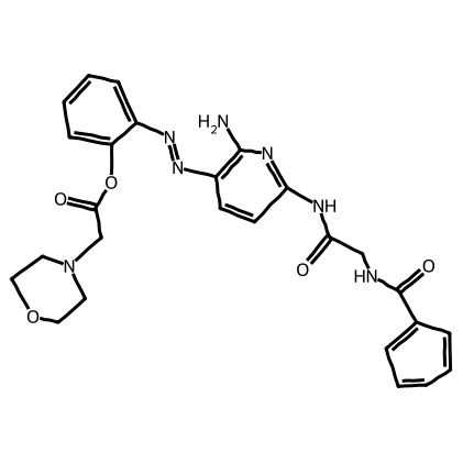 Nc1nc(NC(=O)CNC(=O)c2ccccc2)ccc1/N=N/c1ccccc1OC(=O)CN1CCOCC1